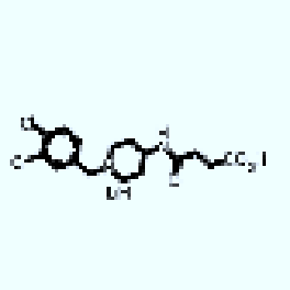 O=C(O)CCC(=O)NC1CCN(Cc2ccc(Cl)c(Cl)c2)CC1.[LiH]